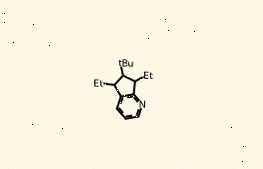 CCC1c2cccnc2C(CC)C1C(C)(C)C